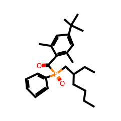 CCCCC(CC)CP(=O)(C(=O)c1c(C)cc(C(C)(C)C)cc1C)c1ccccc1